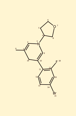 CC1=CN(C2CCOC2)C=C(c2ccc(Br)cc2F)C1